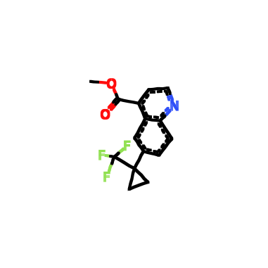 COC(=O)c1ccnc2ccc(C3(C(F)(F)F)CC3)cc12